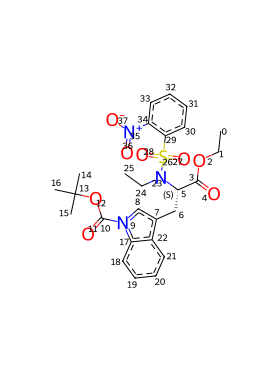 CCOC(=O)[C@H](Cc1cn(C(=O)OC(C)(C)C)c2ccccc12)N(CC)S(=O)(=O)c1ccccc1[N+](=O)[O-]